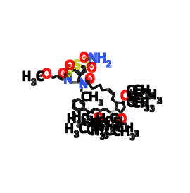 CCN(C(=O)CCC/C=C\C[C@H]1C(O[Si](C)(C)C(C)(C)C)CC(O[Si](C)(C)C(C)(C)C)[C@@H]1CCC(CCc1ccccc1)O[Si](C)(C)C(C)(C)C)C1CN(CCCOC)S(=O)(=O)c2sc(S(N)(=O)=O)cc21